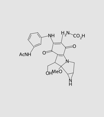 COC12C(CO)C3=C(C(=O)C(C)=C(Nc4cccc(NC(C)=O)c4)C3=O)N1CC1NC12.NC(=O)O